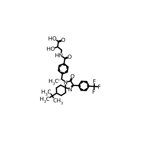 C[C@H](c1ccc(C(=O)NCC(O)C(=O)O)cc1)N1C(=O)C(c2ccc(C(F)(F)F)cc2)=NC12CCC(C(C)(C)C)CC2